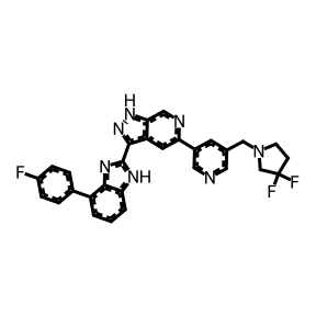 Fc1ccc(-c2cccc3[nH]c(-c4n[nH]c5cnc(-c6cncc(CN7CCC(F)(F)C7)c6)cc45)nc23)cc1